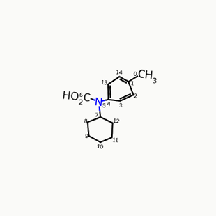 Cc1ccc(N(C(=O)O)C2CCCCC2)cc1